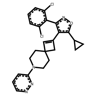 Clc1cccc(Cl)c1-c1noc(C2CC2)c1C1=CC2(CCN(c3cccnn3)CC2)C1